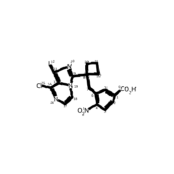 O=C(O)c1ccc([N+](=O)[O-])c(CC2(c3nc(I)c4c(Cl)nccn34)CCC2)c1